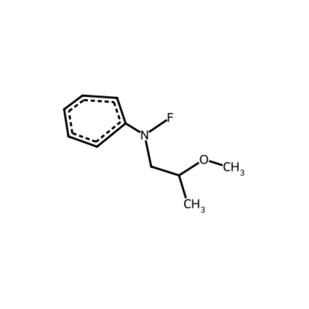 COC(C)CN(F)c1ccccc1